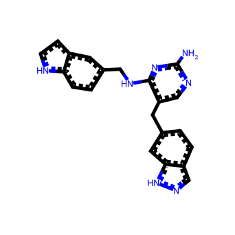 Nc1ncc(Cc2ccc3cn[nH]c3c2)c(NCc2ccc3[nH]ccc3c2)n1